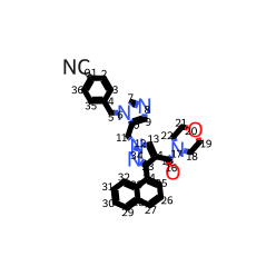 N#Cc1ccc(Cn2cncc2Cn2cc(C(=O)N3CCOCC3)c(-c3cccc4ccccc34)n2)cc1